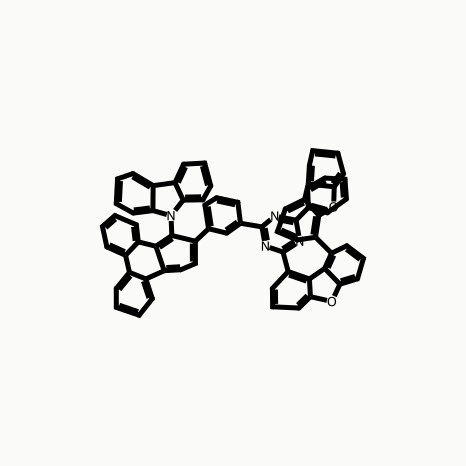 c1ccc(-c2nc(-c3cccc(-c4ccc5c6ccccc6c6ccccc6c5c4-n4c5ccccc5c5ccccc54)c3)nc(-c3cccc4oc5cccc(-c6cccc7c6oc6ccccc67)c5c34)n2)cc1